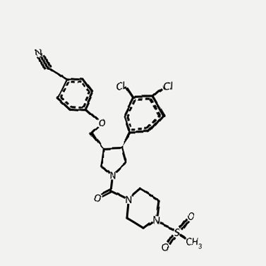 CS(=O)(=O)N1CCN(C(=O)N2C[C@@H](COc3ccc(C#N)cc3)[C@@H](c3ccc(Cl)c(Cl)c3)C2)CC1